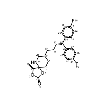 C=C1OC(=O)OC12CCC(CCC=C(c1ccc(F)cc1)c1ccc(F)cc1)CN2